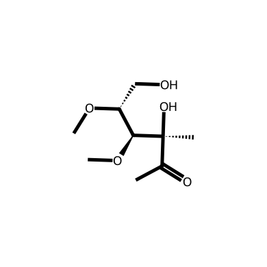 CO[C@H](CO)[C@H](OC)[C@@](C)(O)C(C)=O